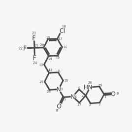 O=C1CCC2(CN(C(=O)N3CCC(Cc4ccc(Cl)cc4C(F)(F)F)CC3)C2)NC1